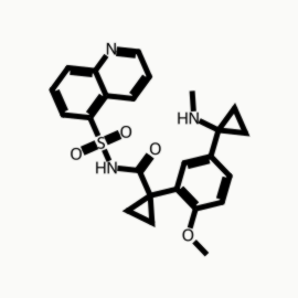 CNC1(c2ccc(OC)c(C3(C(=O)NS(=O)(=O)c4cccc5ncccc45)CC3)c2)CC1